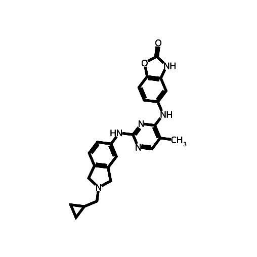 Cc1cnc(Nc2ccc3c(c2)CN(CC2CC2)C3)nc1Nc1ccc2oc(=O)[nH]c2c1